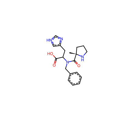 C[C@@]1(C(=O)N(Cc2ccccc2)C(Cc2c[nH]cn2)C(=O)O)CCCN1